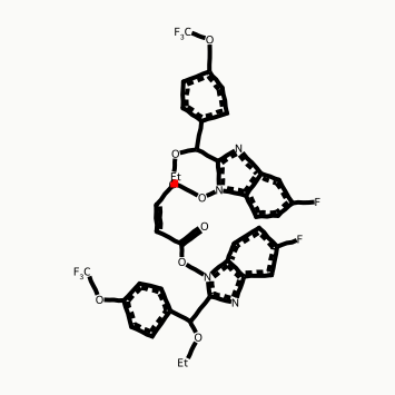 CCOC(c1ccc(OC(F)(F)F)cc1)c1nc2cc(F)ccc2n1OC(=O)/C=C\C(=O)On1c(C(OCC)c2ccc(OC(F)(F)F)cc2)nc2cc(F)ccc21